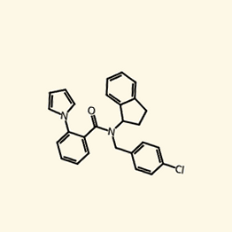 O=C(c1ccccc1-n1cccc1)N(Cc1ccc(Cl)cc1)C1CCc2ccccc21